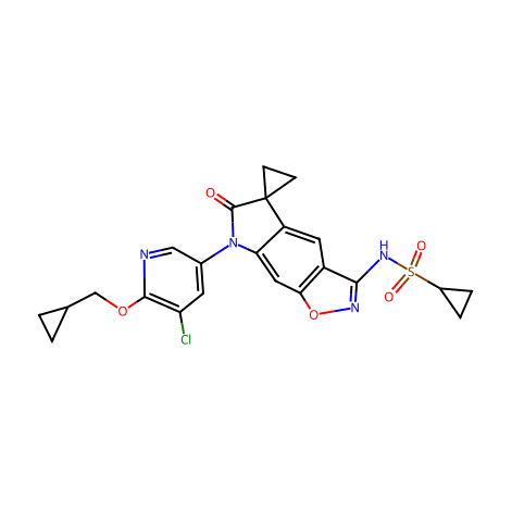 O=C1N(c2cnc(OCC3CC3)c(Cl)c2)c2cc3onc(NS(=O)(=O)C4CC4)c3cc2C12CC2